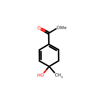 COC(=O)C1=CCC(C)(O)C=C1